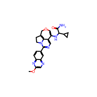 COc1cnc2cc(C3=NC=C4C(NC(C(N)=O)C5CC5)=COCC5=C4N3CC5)ccc2n1